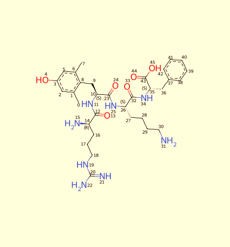 Cc1cc(O)cc(C)c1C[C@H](NC(=O)[C@H](N)CCCNC(=N)N)C(=O)N[C@@H](CCCCN)C(=O)N[C@@H](Cc1ccccc1)C(=O)O